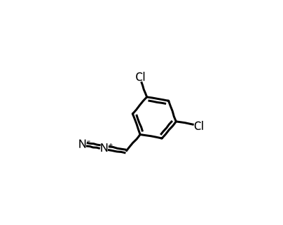 [N-]=[N+]=Cc1cc(Cl)cc(Cl)c1